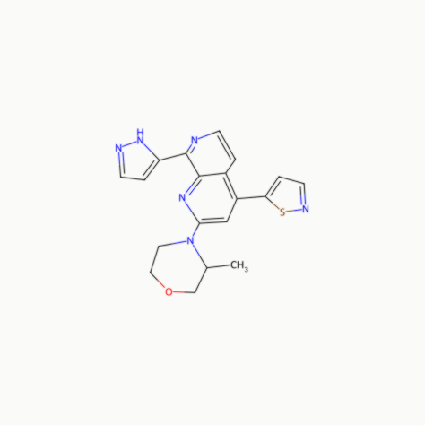 CC1COCCN1c1cc(-c2ccns2)c2ccnc(-c3ccn[nH]3)c2n1